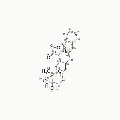 CC1(C)CCC2C(=C3OC2C2Cc4c(c5oc4c4ccccc54)C(C(=O)C=O)=C32)C1(C)C